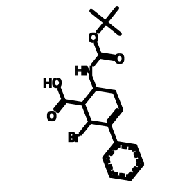 CC(C)(C)OC(=O)NC1CC=C(c2ccccc2)C(Br)C1C(=O)O